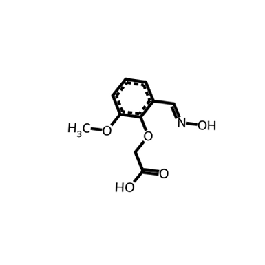 COc1cccc(/C=N/O)c1OCC(=O)O